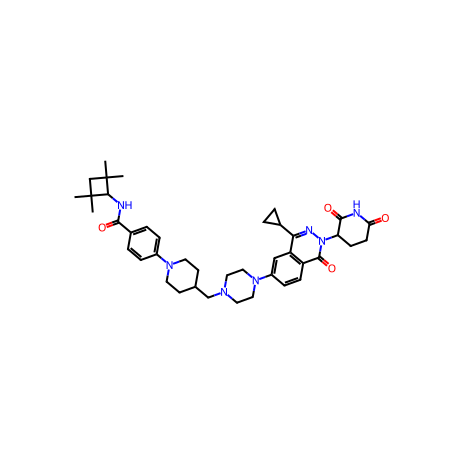 CC1(C)CC(C)(C)C1NC(=O)c1ccc(N2CCC(CN3CCN(c4ccc5c(=O)n(C6CCC(=O)NC6=O)nc(C6CC6)c5c4)CC3)CC2)cc1